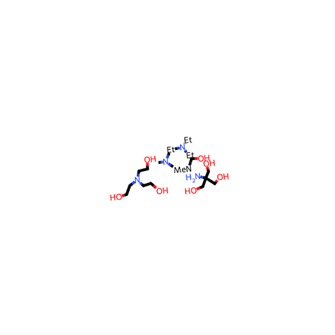 CCN(CC)CC.CN(C)C.CNCO.NC(CO)(CO)CO.OCCN(CCO)CCO